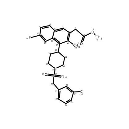 COC(=O)Cc1cc2ccc(F)cc2c(C2CCN(S(=O)(=O)Cc3cccc(Cl)c3)CC2)c1C